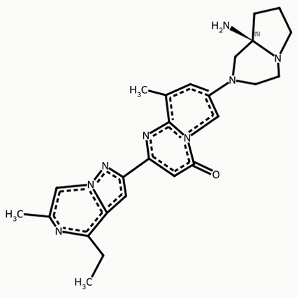 CCc1nc(C)cn2nc(-c3cc(=O)n4cc(N5CCN6CCC[C@@]6(N)C5)cc(C)c4n3)cc12